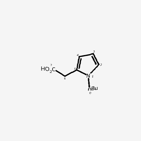 CCCCn1cccc1CC(=O)O